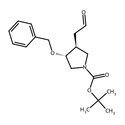 CC(C)(C)OC(=O)N1C[C@H](CC=O)[C@@H](OCc2ccccc2)C1